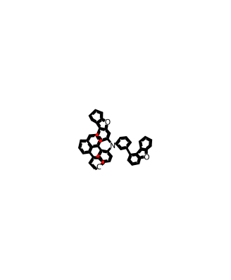 c1ccc(-c2cccc3cccc(-c4ccccc4N(c4cccc(-c5cccc6oc7ccccc7c56)c4)c4ccc5c(c4)oc4ccccc45)c23)cc1